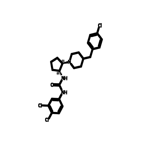 O=C(Nc1ccc(Cl)c(Cl)c1)N[C@@H]1CCC[C@H]1N1CCC(Cc2ccc(Cl)cc2)CC1